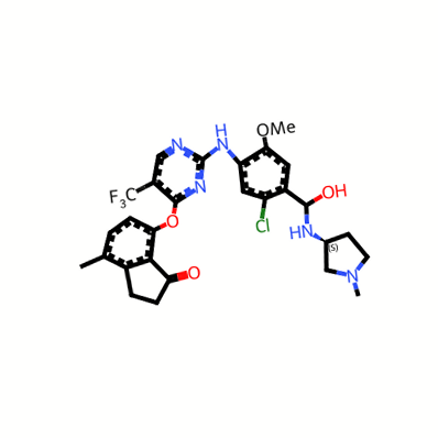 COc1cc(C(O)N[C@H]2CCN(C)C2)c(Cl)cc1Nc1ncc(C(F)(F)F)c(Oc2ccc(C)c3c2C(=O)CC3)n1